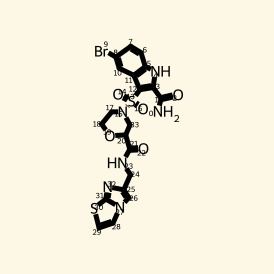 NC(=O)c1[nH]c2ccc(Br)cc2c1S(=O)(=O)N1CCOC(C(=O)NCc2cn3ccsc3n2)C1